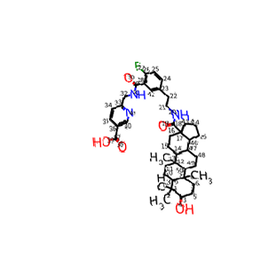 CC1(C)C(O)CCC2(C)C1CCC1(C)C3CCC4(C(=O)NCCc5ccc(F)c(C(=O)NCc6ccc(C(=O)O)cn6)c5)CCCC4C3CCC12